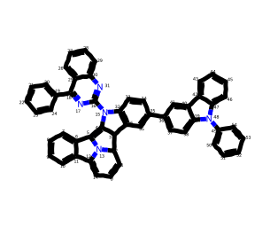 C1=CC2C3C(=c4c5ccccc5c(n42)=C1)N(c1nc(-c2ccccc2)c2ccccc2n1)c1ccc(-c2ccc4c(c2)c2ccccc2n4-c2ccccc2)cc13